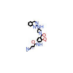 COc1cc(NC(=O)/C=C/CN(C)C)ccc1C(=O)N1CC[C@@H](Nc2ncc3ccccc3n2)C1